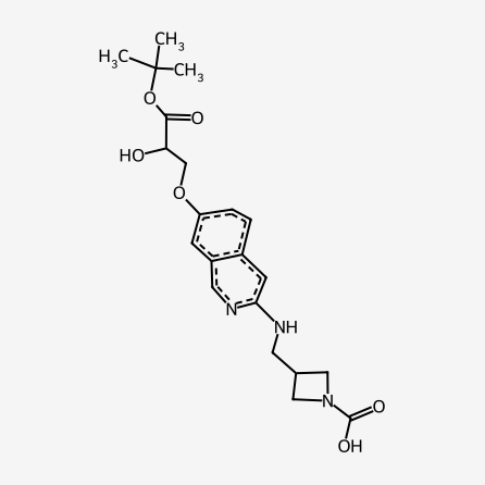 CC(C)(C)OC(=O)C(O)COc1ccc2cc(NCC3CN(C(=O)O)C3)ncc2c1